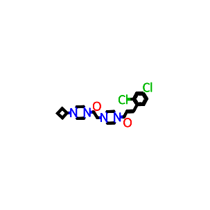 O=C(C=Cc1ccc(Cl)cc1Cl)N1CCN(CC(=O)N2CCN(C3CCC3)CC2)CC1